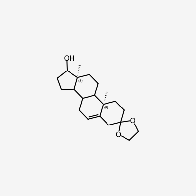 C[C@]12CCC3C(CC=C4CC5(CC[C@@]43C)OCCO5)C1CCC2O